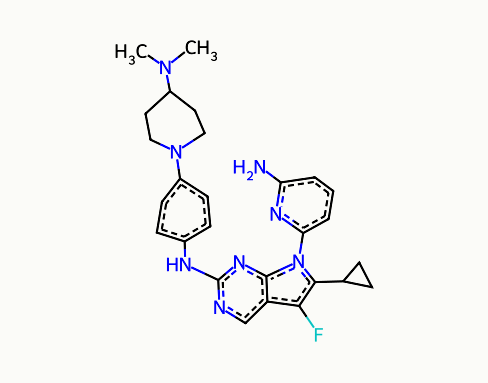 CN(C)C1CCN(c2ccc(Nc3ncc4c(F)c(C5CC5)n(-c5cccc(N)n5)c4n3)cc2)CC1